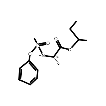 CCC(C)OC(=O)[C@H](C)NP(C)(=O)Oc1ccccc1